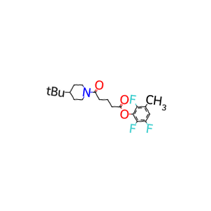 Cc1cc(F)c(F)c(OC(=O)CCCC(=O)N2CCC(C(C)(C)C)CC2)c1F